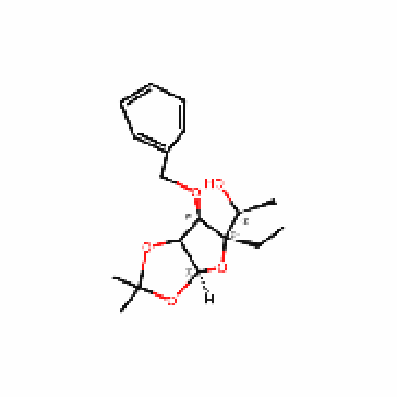 CC[C@@]1([C@H](C)O)O[C@H]2OC(C)(C)OC2[C@H]1OCc1ccccc1